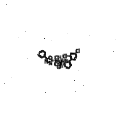 CC(C)(NC(=O)c1cccc(-c2ccc(Cl)cc2Cl)n1)c1nnc(-c2ccccc2)o1